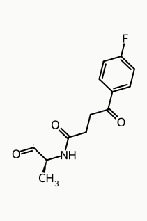 C[C@@H]([C]=O)NC(=O)CCC(=O)c1ccc(F)cc1